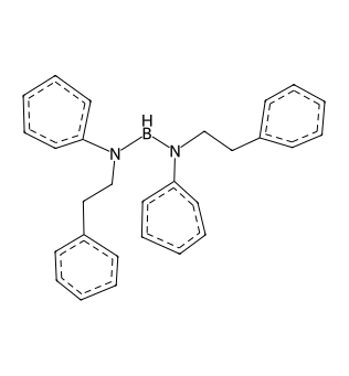 B(N(CCc1ccccc1)c1ccccc1)N(CCc1ccccc1)c1ccccc1